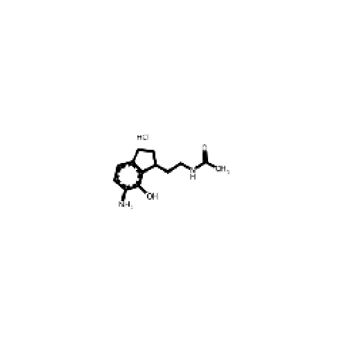 CC(=O)NCCC1CCc2ccc(N)c(O)c21.Cl